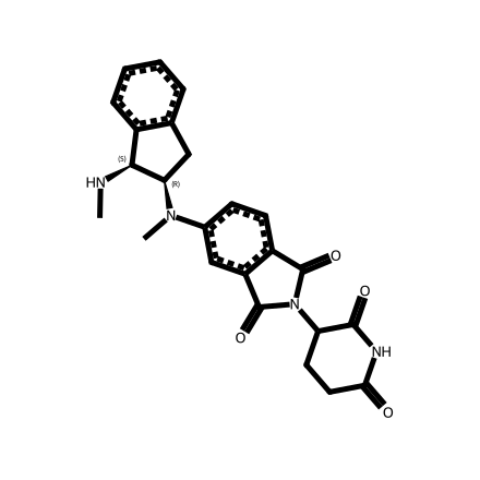 CN[C@H]1c2ccccc2C[C@H]1N(C)c1ccc2c(c1)C(=O)N(C1CCC(=O)NC1=O)C2=O